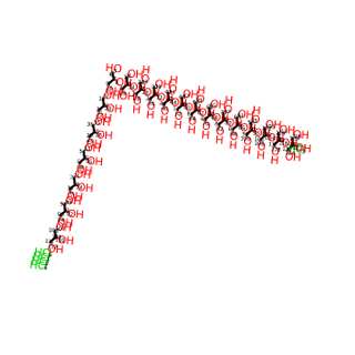 Cl.Cl.Cl.Cl.Cl.OCC(O)CO.OCC(O)CO.OCC(O)CO.OCC(O)CO.OCC(O)CO.OCC(O)CO.OCC(O)CO.OCC(O)CO.OCC(O)CO.OCC(O)CO.OCC(O)CO.OCC(O)CO.OCC(O)CO.OCC(O)CO.OCC(O)CO.OCC(O)CO.OCC(O)CO.OCC(O)CO.OCC(O)CO.OCC(O)CO